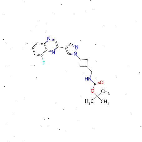 CC(C)(C)OC(=O)NCC1CC(n2cc(-c3cnc4cccc(F)c4n3)cn2)C1